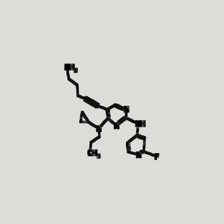 CCCN(c1nc(Nc2ccnc(F)c2)ncc1C#CCCCN)C1CC1